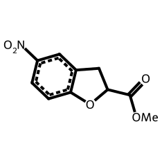 COC(=O)C1Cc2cc([N+](=O)[O-])ccc2O1